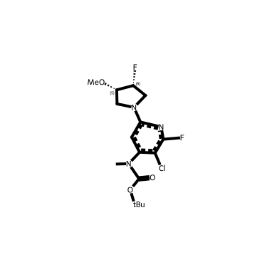 CO[C@H]1CN(c2cc(N(C)C(=O)OC(C)(C)C)c(Cl)c(F)n2)C[C@H]1F